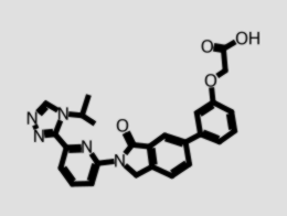 CC(C)n1cnnc1-c1cccc(N2Cc3ccc(-c4cccc(OCC(=O)O)c4)cc3C2=O)n1